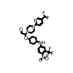 O=CC(OC1CCC(Nc2ccc([N+](=O)[O-])c(C(F)(F)F)c2)CC1)N1CCN(c2ccc(C(F)F)cn2)CC1